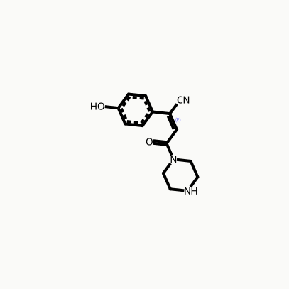 N#C/C(=C/C(=O)N1CCNCC1)c1ccc(O)cc1